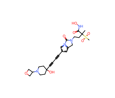 CC(CCN1Cc2cc(C#CC#CC3(O)CCN(C4COC4)CC3)cn2C1=O)(C(=O)NO)S(C)(=O)=O